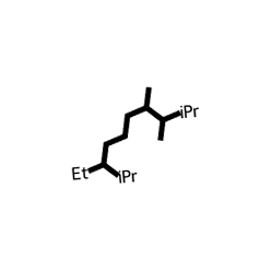 CCC(CCCC(C)C(C)C(C)C)C(C)C